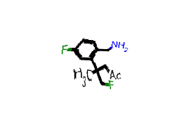 CC(=O)CC(C)(CF)c1cc(F)ccc1CN